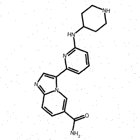 NC(=O)c1ccc2ncc(-c3cccc(NC4CCNCC4)n3)n2c1